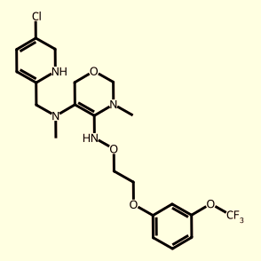 CN(CC1=CC=C(Cl)CN1)C1=C(NOCCOc2cccc(OC(F)(F)F)c2)N(C)COC1